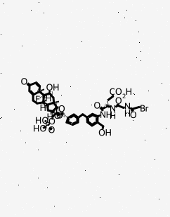 C[C@]12C=CC(=O)C=C1CC[C@H]1[C@@H]3C[C@H]4O[C@@H](c5cccc(Cc6ccc(CO)c(NC(=O)[C@H](CCC(=O)O)NC(=O)CNC(=O)CBr)c6)c5)O[C@@]4(C(=O)COP(=O)(O)O)[C@@]3(C)C[C@H](O)[C@@]12F